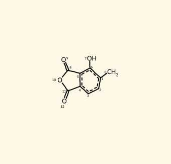 Cc1ccc2c(c1O)C(=O)OC2=O